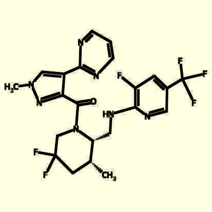 C[C@@H]1CC(F)(F)CN(C(=O)c2nn(C)cc2-c2ncccn2)[C@@H]1CNc1ncc(C(F)(F)F)cc1F